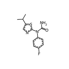 CC(C)c1cnc(N(C(N)=O)c2ccc(F)cc2)s1